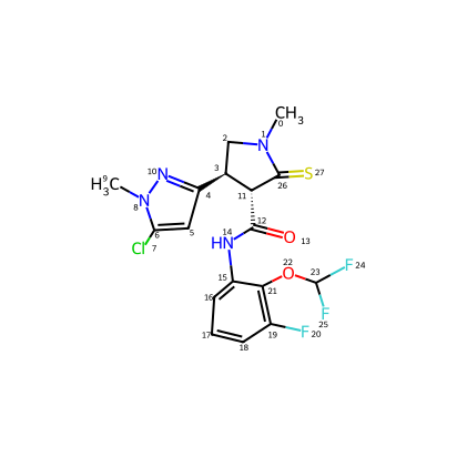 CN1C[C@H](c2cc(Cl)n(C)n2)[C@@H](C(=O)Nc2cccc(F)c2OC(F)F)C1=S